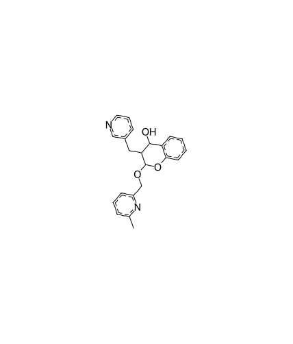 Cc1cccc(COC2Oc3ccccc3C(O)C2Cc2cccnc2)n1